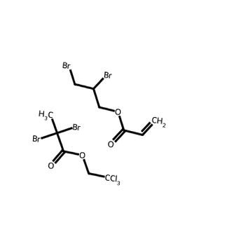 C=CC(=O)OCC(Br)CBr.CC(Br)(Br)C(=O)OCC(Cl)(Cl)Cl